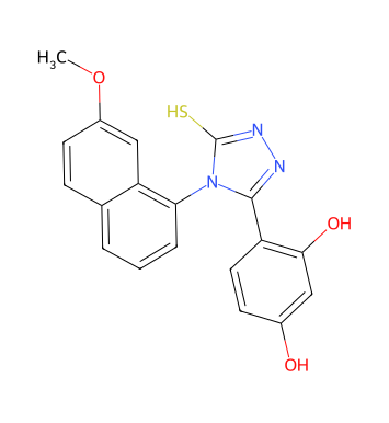 COc1ccc2cccc(-n3c(S)nnc3-c3ccc(O)cc3O)c2c1